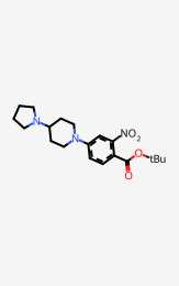 CC(C)(C)OC(=O)c1ccc(N2CCC(N3CCCC3)CC2)cc1[N+](=O)[O-]